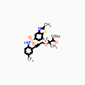 COC(=O)C(C)(C)OCC#Cc1cc(C(F)(F)F)ccc1NS(=O)(=O)c1ccc2sc(C)nc2c1